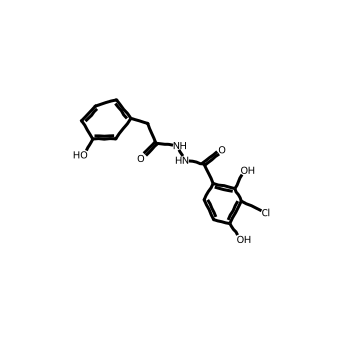 O=C(Cc1cccc(O)c1)NNC(=O)c1ccc(O)c(Cl)c1O